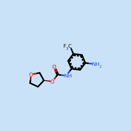 Nc1cc(NC(=O)O[C@H]2CCOC2)cc(C(F)(F)F)c1